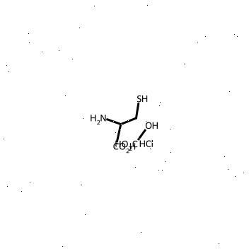 Cl.NC(CS)C(=O)O.O=C(O)O